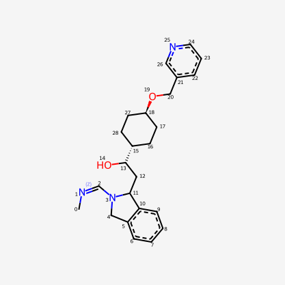 C/N=C\N1Cc2ccccc2C1CC(O)[C@H]1CC[C@H](OCc2cccnc2)CC1